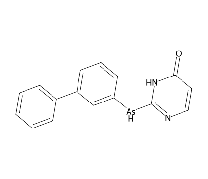 O=c1ccnc([AsH]c2cccc(-c3ccccc3)c2)[nH]1